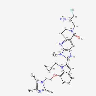 [2H]c1nc([2H])n(CCOc2cccc3cc(-c4nc5cc6c(nc5n4C)CCN(C[C@H](N)CF)C6=O)n(CC4CC4)c23)c1[2H]